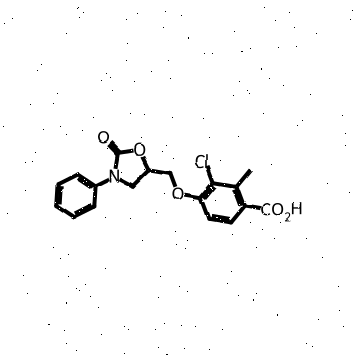 Cc1c(C(=O)O)ccc(OCC2CN(c3ccccc3)C(=O)O2)c1Cl